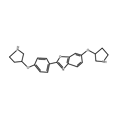 c1cc(-c2nc3ccc(OC4CCNC4)cc3o2)ccc1OC1CCNC1